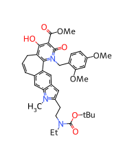 CCN(CCc1cc2cc3c(cc2n1C)C=CCc1c(O)c(C(=O)OC)c(=O)n(Cc2ccc(OC)cc2OC)c1-3)C(=O)OC(C)(C)C